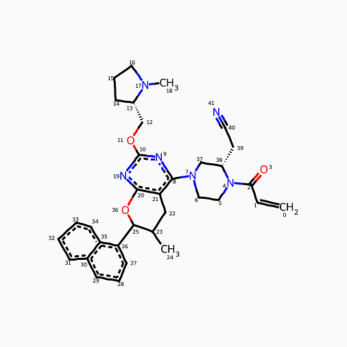 C=CC(=O)N1CCN(c2nc(OC[C@@H]3CCCN3C)nc3c2CC(C)C(c2cccc4ccccc24)O3)C[C@@H]1CC#N